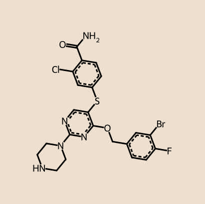 NC(=O)c1ccc(Sc2cnc(N3CCNCC3)nc2OCc2ccc(F)c(Br)c2)cc1Cl